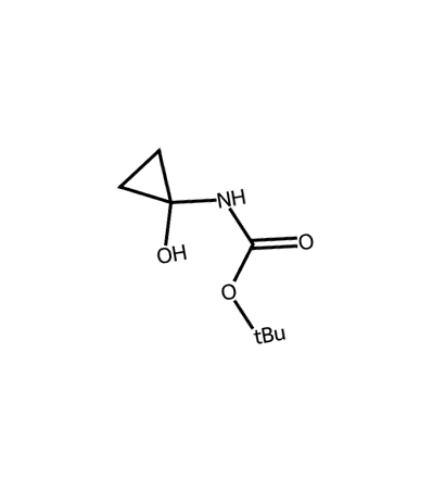 CC(C)(C)OC(=O)NC1(O)CC1